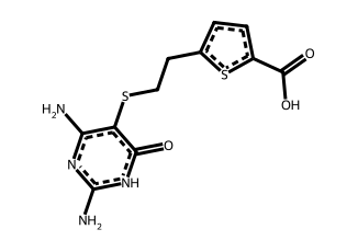 Nc1nc(N)c(SCCc2ccc(C(=O)O)s2)c(=O)[nH]1